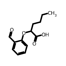 CCCCC(Oc1ccccc1C=O)C(=O)O